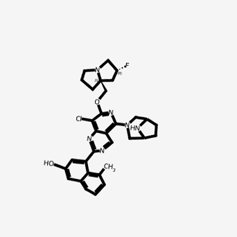 Cc1cccc2cc(O)cc(-c3ncc4c(N5CC6CCC(C5)N6)nc(OC[C@@]56CCCN5C[C@H](F)C6)c(Cl)c4n3)c12